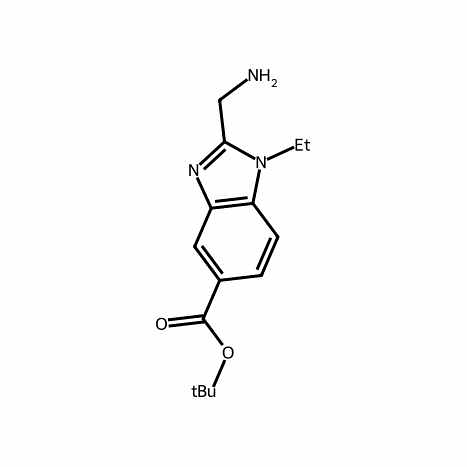 CCn1c(CN)nc2cc(C(=O)OC(C)(C)C)ccc21